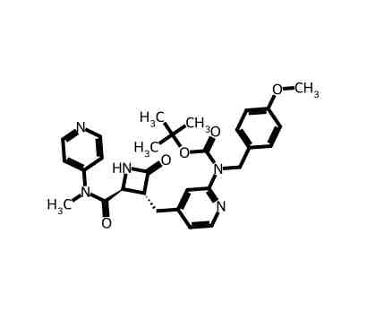 COc1ccc(CN(C(=O)OC(C)(C)C)c2cc(C[C@H]3C(=O)N[C@@H]3C(=O)N(C)c3ccncc3)ccn2)cc1